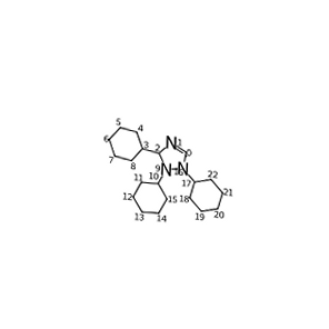 [C]1=NC(C2CCCCC2)N(C2CCCCC2)N1C1CCCCC1